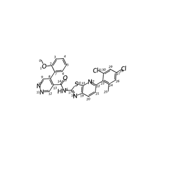 COc1ccccc1-c1cnncc1C(=O)Nc1nc2ccc(-c3c(C)cc(Cl)cc3Cl)nc2s1